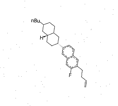 C=CCCc1cc2ccc([C@@H]3CC[C@@H]4CC(CCCC)CCC4C3)cc2cc1F